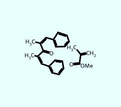 C/C(=C/c1ccccc1)C(=O)/C(C)=C\c1ccccc1.C=C(C)C(=O)OC